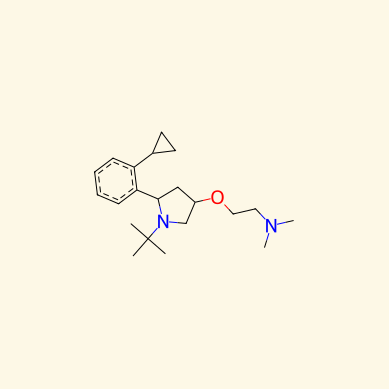 CN(C)CCOC1CC(c2ccccc2C2CC2)N(C(C)(C)C)C1